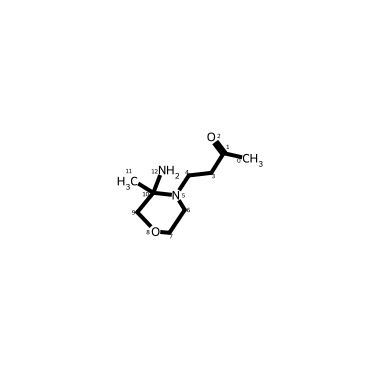 CC(=O)CCN1CCOCC1(C)N